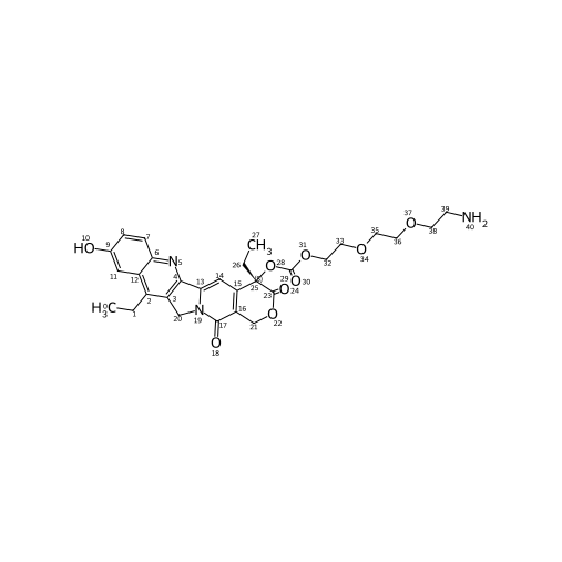 CCc1c2c(nc3ccc(O)cc13)-c1cc3c(c(=O)n1C2)COC(=O)[C@@]3(CC)OC(=O)OCCOCCOCCN